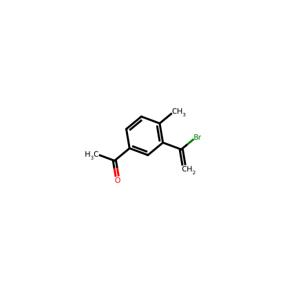 C=C(Br)c1cc(C(C)=O)ccc1C